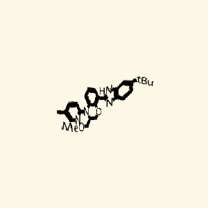 COCC1COc2c(-c3nc4ccc(C(C)(C)C)cc4[nH]3)cccc2N1c1ccc(C)cn1